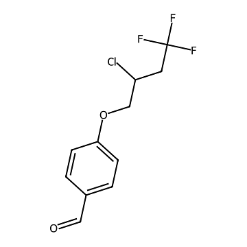 O=Cc1ccc(OCC(Cl)CC(F)(F)F)cc1